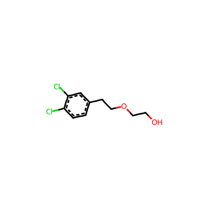 OCCOCCc1ccc(Cl)c(Cl)c1